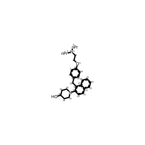 CCCN(CCC)CCOc1ccc(Cc2c(N3CCC(O)CC3)ccc3ccccc23)cc1